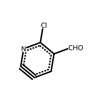 O=Cc1cc#cnc1Cl